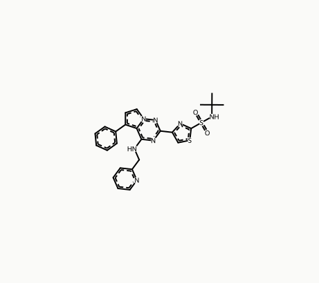 CC(C)(C)NS(=O)(=O)c1nc(-c2nc(NCc3ccccn3)c3c(-c4ccccc4)ccn3n2)cs1